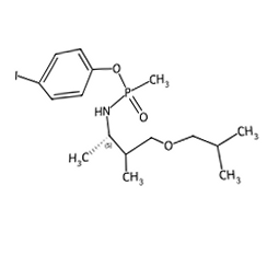 CC(C)COCC(C)[C@H](C)NP(C)(=O)Oc1ccc(I)cc1